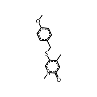 COc1ccc(CSc2cn(C)c(=O)cc2C)cc1